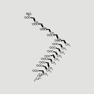 C=CC(=O)[O-].C=CC(=O)[O-].C=CC(=O)[O-].C=CC(=O)[O-].C=CC(=O)[O-].C=CC(=O)[O-].C=CC(=O)[O-].C=CC(=O)[O-].C=CC(=O)[O-].C=CC(=O)[O-].C=CC(=O)[O-].C=CC(=O)[O-].C=CC(=O)[O-].[Ca+2].[Ca+2].[Ca+2].[I+].[Pb+2].[Ti+4]